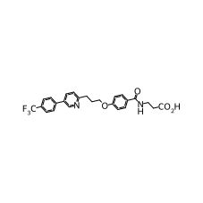 O=C(O)CCNC(=O)c1ccc(OCCCc2ccc(-c3ccc(C(F)(F)F)cc3)cn2)cc1